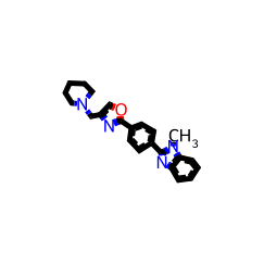 Cn1c(-c2ccc(-c3nc(CN4CCCCC4)co3)cc2)nc2ccccc21